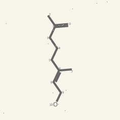 C=C(C)CCC/C(C)=C/C[O]